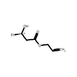 C=CCOC(=O)C[C@H](O)CC